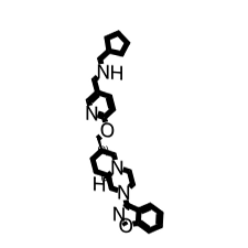 c1ccc2c(N3CCN4C[C@H](COc5ccc(CNCC6CCCC6)cn5)CC[C@H]4C3)noc2c1